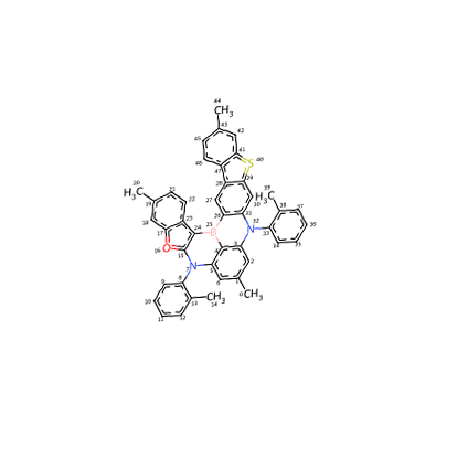 Cc1cc2c3c(c1)N(c1ccccc1C)c1oc4cc(C)ccc4c1B3c1cc3c(cc1N2c1ccccc1C)sc1cc(C)ccc13